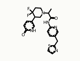 CC(C(=O)Nc1ccc(Cc2nccs2)cn1)N1CCC(F)(F)C(c2ccc(=O)[nH]c2)C1